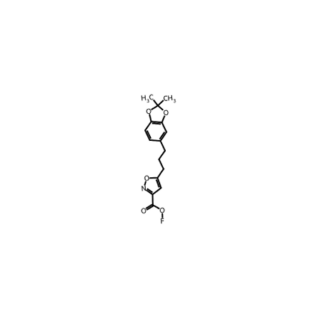 CC1(C)Oc2ccc(CCCc3cc(C(=O)OF)no3)cc2O1